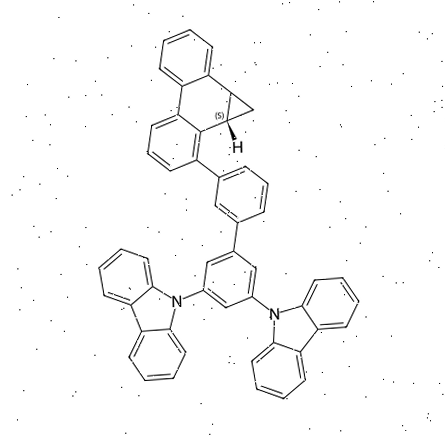 c1cc(-c2cc(-n3c4ccccc4c4ccccc43)cc(-n3c4ccccc4c4ccccc43)c2)cc(-c2cccc3c2[C@H]2CC2c2ccccc2-3)c1